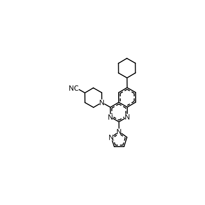 N#CC1CCN(c2nc(-n3cccn3)nc3ccc(C4CCCCC4)cc23)CC1